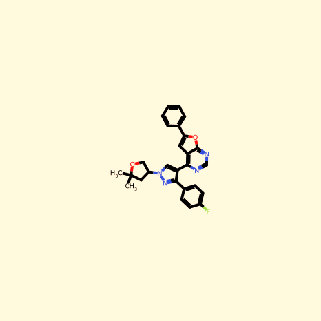 CC1(C)CC(n2cc(-c3ncnc4oc(-c5ccccc5)cc34)c(-c3ccc(F)cc3)n2)CO1